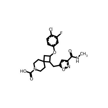 CNC(=O)c1cc(CC2C(Oc3ccc(Cl)c(F)c3)CC23CCN(C(=O)O)CC3)on1